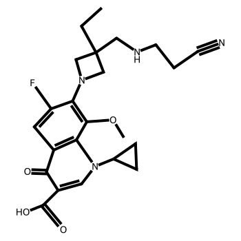 CCC1(CNCCC#N)CN(c2c(F)cc3c(=O)c(C(=O)O)cn(C4CC4)c3c2OC)C1